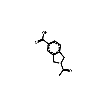 CC(=O)N1Cc2ccc(C(=O)O)cc2C1